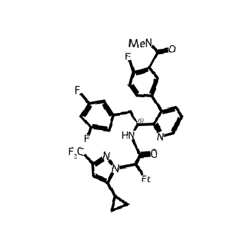 CCC(C(=O)N[C@@H](Cc1cc(F)cc(F)c1)c1ncccc1-c1ccc(F)c(C(=O)NC)c1)n1nc(C(F)(F)F)cc1C1CC1